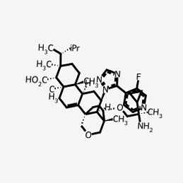 CC(C)[C@@H](C)[C@@]1(C)CC[C@]2(C)[C@H]3CC[C@@H]4[C@@]5(COC[C@@]4(C)[C@@H](OC[C@](C)(N)C4CC4)[C@H](n4ncnc4-c4ccncc4F)C5)C3=CC[C@@]2(C)[C@@H]1C(=O)O